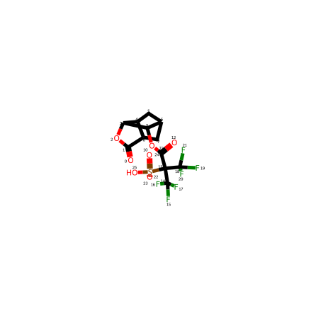 O=C1OC2C3CC(CC13)C2OC(=O)C(C(F)(F)F)(C(F)(F)F)S(=O)(=O)O